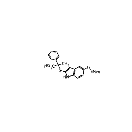 CCCCCCOc1ccc2[nH]c(SC(C)(C(=O)O)c3ccccc3)cc2c1